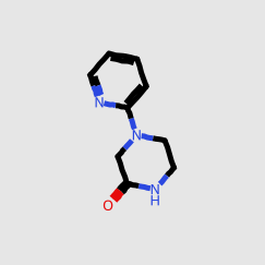 O=C1CN(c2ccccn2)CCN1